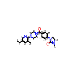 CCc1cnc(N2CCN(C(=O)c3ccc(N4CCN(C)C4=O)cc3)CC2)c(C)c1